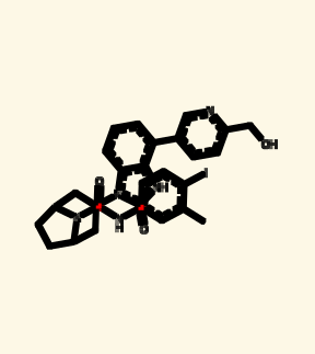 Cc1cc(NC(=O)N2C3CCC2CC(n2c(=O)[nH]c4c(-c5ccc(CO)nc5)cccc42)C3)ccc1I